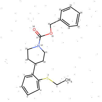 CCSc1ccccc1C1CCN(C(=O)OCc2ccccc2)CC1